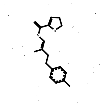 C=C(S/C=C(\C)CCc1ccc(C)cc1)C1=CCCS1